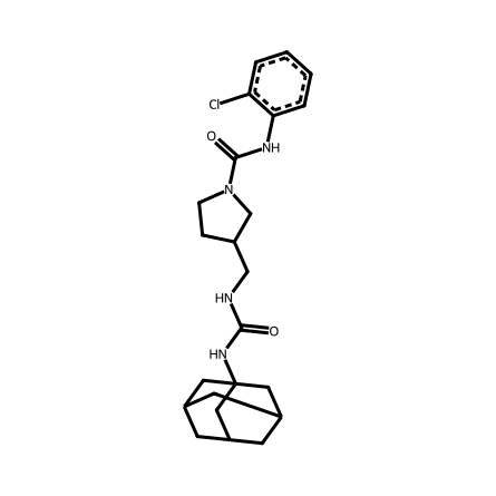 O=C(NCC1CCN(C(=O)Nc2ccccc2Cl)C1)NC12CC3CC(CC(C3)C1)C2